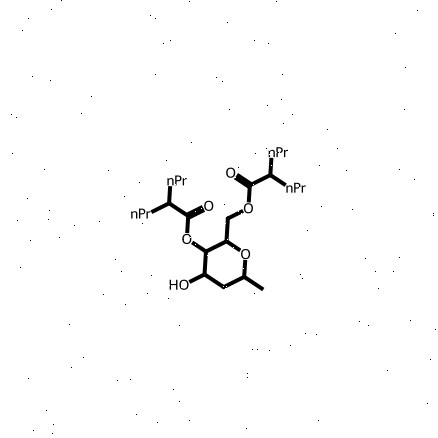 CCCC(CCC)C(=O)OCC1OC(C)CC(O)C1OC(=O)C(CCC)CCC